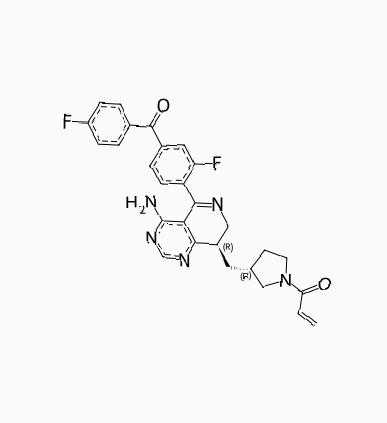 C=CC(=O)N1CC[C@@H](C[C@@H]2CN=C(c3ccc(C(=O)c4ccc(F)cc4)cc3F)c3c(N)ncnc32)C1